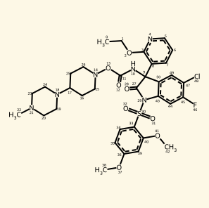 CCOc1ncccc1C1(NC(=O)ON2CCC(N3CCN(C)CC3)CC2)C(=O)N(S(=O)(=O)c2ccc(OC)cc2OC)c2cc(F)c(Cl)cc21